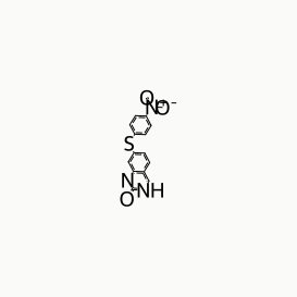 O=c1nc2cc(Sc3ccc([N+](=O)[O-])cc3)ccc2c[nH]1